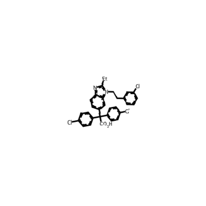 CCc1nc2ccc(C(C(=O)O)(c3ccc(Cl)cc3)c3ccc(Cl)cc3)cc2n1CCc1cccc(Cl)c1